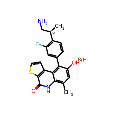 Br.Cc1cc(O)c(-c2ccc([C@H](C)CN)c(F)c2)c2c1[nH]c(=O)c1sccc12